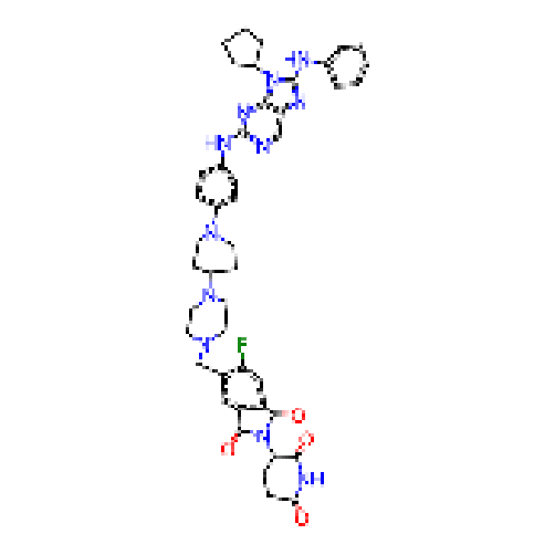 O=C1CCC(N2C(=O)c3cc(F)c(CN4CCN(C5CCN(c6ccc(Nc7ncc8nc(Nc9ccccc9)n(C9CCCC9)c8n7)cc6)CC5)CC4)cc3C2=O)C(=O)N1